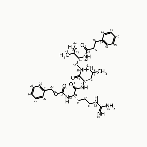 CC(C)C[C@H](NC(=O)[C@H](CCCNC(=N)N)NC(=O)OCc1ccccc1)C(=O)NC[C@@H](NC(=O)CCc1ccccc1)C(C)C